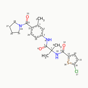 Cc1cc(NC(=O)C(C)(C)NC(=O)c2ccc(Cl)s2)ccc1C(=O)N1CCCC1